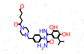 CC(C)c1cc(C(=N)N(C(N)=O)c2ccc(CN3CCN(C(=O)CCCC=O)CC3)cc2)c(O)cc1O